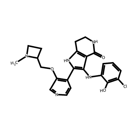 CN1CCC1COc1cnccc1-c1[nH]c2c(c1Nc1cccc(Cl)c1O)C(=O)NCC2